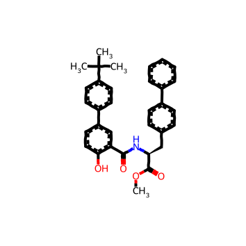 COC(=O)[C@H](Cc1ccc(-c2ccccc2)cc1)NC(=O)c1cc(-c2ccc(C(C)(C)C)cc2)ccc1O